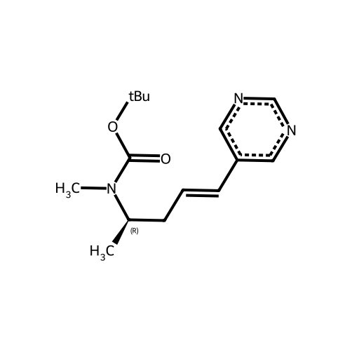 C[C@H](CC=Cc1cncnc1)N(C)C(=O)OC(C)(C)C